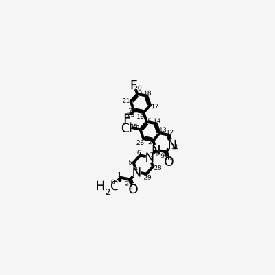 C=CC(=O)N1CCN(n2c(=O)ncc3cc(-c4ccc(F)cc4F)c(Cl)cc32)CC1